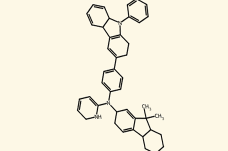 CC1(C)C2=CC(N(C3=CC=CCN3)c3ccc(C4=CC5=C(CC4)N(c4ccccc4)C4C=CC=CC54)cc3)CC=C2C2CCCCC21